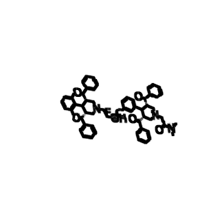 CN(C)C(=O)CN1C[C@H](C(=O)c2ccccc2)C(c2cccc(C(F)(F)F)c2)[C@@H](C(=O)c2ccccc2)C1.Cc1cccc(C)c1C1[C@@H](C(=O)c2ccccc2)CN(CCO)C[C@@H]1C(=O)c1ccccc1